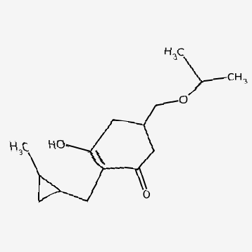 CC(C)OCC1CC(=O)C(CC2CC2C)=C(O)C1